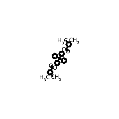 Cc1ccc(C(=O)Oc2ccc(C(c3ccccc3)(c3ccccc3)c3ccc(OC(=O)c4ccc(C)c(C)c4)cc3)cc2)cc1C